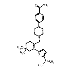 CC(C)c1ccc(C2=C(CN3CCN(c4ccc(C(N)=O)cc4)CC3)CCC(C)(C)C2)s1